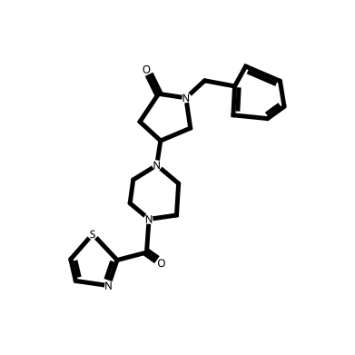 O=C1CC(N2CCN(C(=O)c3nccs3)CC2)CN1Cc1ccccc1